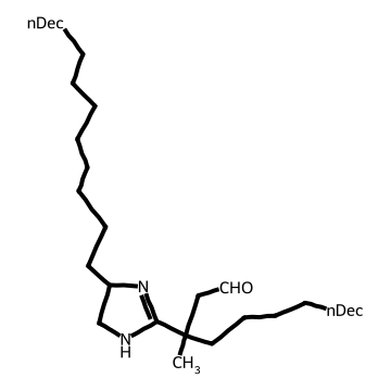 CCCCCCCCCCCCCCCCCCC1CNC(C(C)(CC=O)CCCCCCCCCCCCCC)=N1